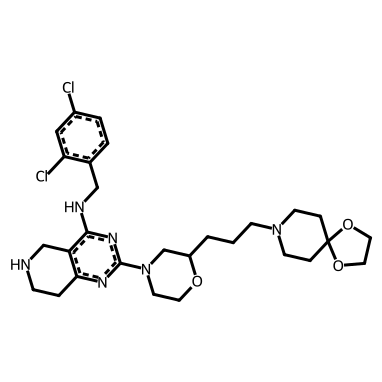 Clc1ccc(CNc2nc(N3CCOC(CCCN4CCC5(CC4)OCCO5)C3)nc3c2CNCC3)c(Cl)c1